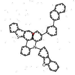 c1cc(-c2cccc(N(c3ccc4c(c3)oc3ccccc34)c3ccccc3-c3cccc4c3sc3ccccc34)c2)cc(-c2ccc3ccccc3c2)c1